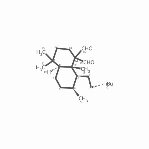 CC[C@@H](C)CC[C@H]1[C@@H](C)CC[C@H]2C(C)(C)CCC(C=O)(C=O)[C@]12C